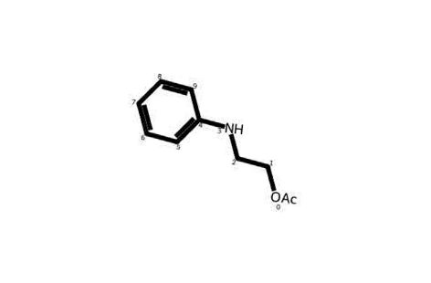 CC(=O)OCCNc1cc[c]cc1